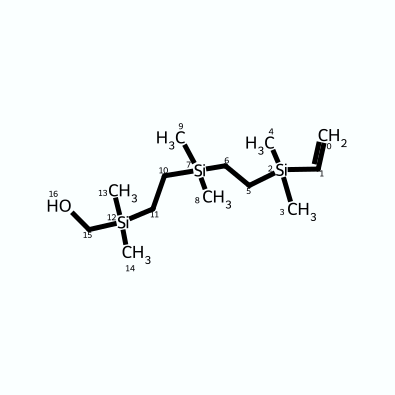 C=C[Si](C)(C)CC[Si](C)(C)CC[Si](C)(C)CO